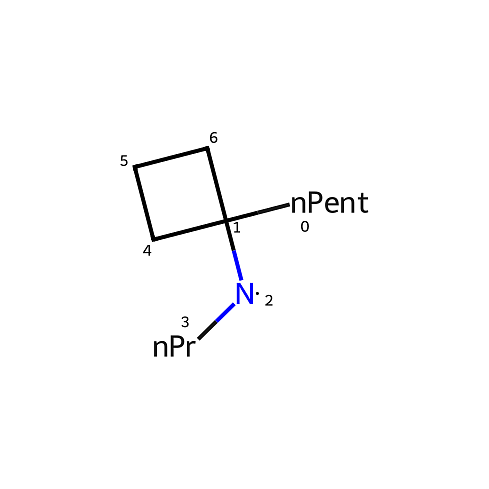 CCCCCC1([N]CCC)CCC1